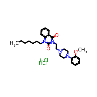 CCCCCCCn1c(=O)n(CCN2CCN(c3ccccc3OC)CC2)c(=O)c2ccccc21.Cl.Cl